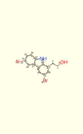 OCCc1cc(Br)cc2c1[nH]c1ccc(Br)cc12